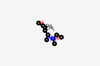 CC1(C)c2cc(-c3ccc4c(c3)c3ccccc3n4-c3nc(-c4ccccc4)nc(-c4cccc5c4oc4ccccc45)n3)ccc2-c2cc3c(cc21)oc1ccccc13